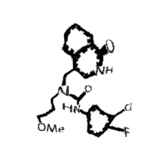 COCCCN(Cc1c[nH]c(=O)c2ccccc12)C(=O)Nc1ccc(F)c(Cl)c1